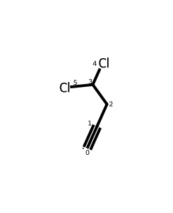 [C]#CCC(Cl)Cl